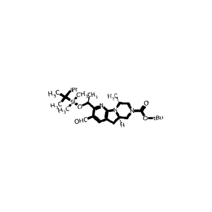 CC(C)C(C)(C)[Si](C)(C)O[C@@H](C)c1nc2c(cc1C=O)C[C@@H]1CN(C(=O)OC(C)(C)C)C[C@@H](C)N21